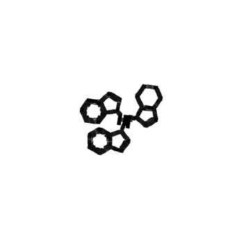 C1=C[CH]([Hf]([CH]2C=Cc3ccccc32)[CH]2C=Cc3ccccc32)C2=C1CCCC2